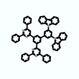 c1ccc(-c2cc(-c3cc(-c4cc(-n5c6ccccc6c6ccccc65)cc(-n5c6ccccc6c6ccccc65)c4)cc(-c4cc(-c5ccccc5)nc(-c5ccccc5)n4)c3)nc(-c3ccccc3)n2)cc1